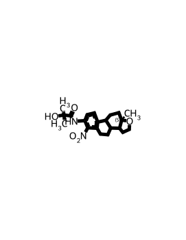 CC(C)(O)C(=O)Nc1ccc2c(c1[N+](=O)[O-])CCC1C2CC[C@]2(C)OCCC12